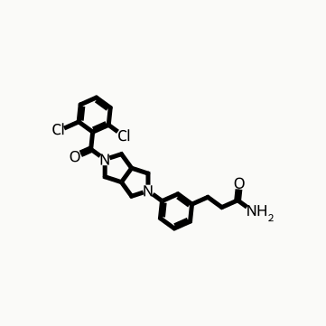 NC(=O)CCc1cccc(N2CC3CN(C(=O)c4c(Cl)cccc4Cl)CC3C2)c1